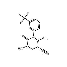 CC1=C(C#N)CN(C)C(=O)N1c1cccc(C(F)(F)F)c1